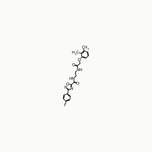 Cc1cccc(OCC(=O)NCCNC(=O)c2nc(-c3ccc(F)cc3)no2)c1C